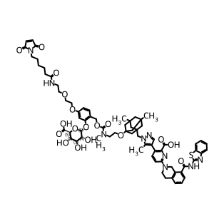 Cc1c(-c2ccc(N3CCc4cccc(C(=O)Nc5nc6ccccc6s5)c4C3)nc2C(=O)O)cnn1CC12CC3(C)CC(C)(C1)CC(OCCN(C)C(=O)OCc1ccc(OCCOCCNC(=O)CCCCCN4C(=O)C=CC4=O)cc1O[C@@H]1O[C@H](C(=O)O)[C@@H](O)[C@H](O)[C@H]1O)(C3)C2